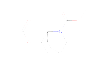 COC(=O)N1CC2CCC1C(OC(C)=O)C2